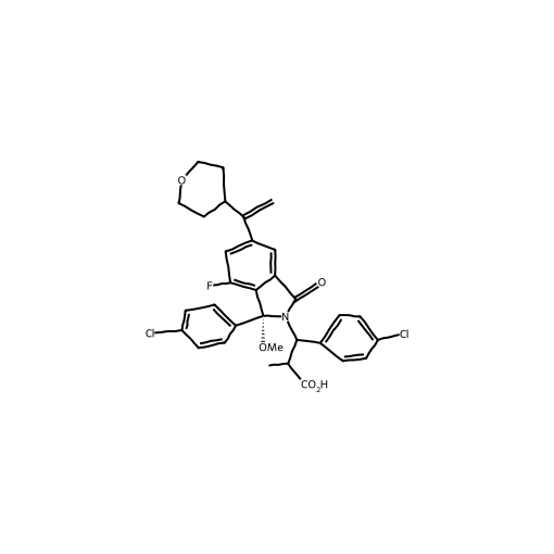 C=C(c1cc(F)c2c(c1)C(=O)N(C(c1ccc(Cl)cc1)C(C)C(=O)O)[C@@]2(OC)c1ccc(Cl)cc1)C1CCOCC1